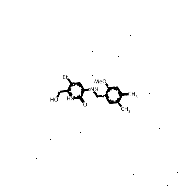 CCc1cc(NCc2cc(C)c(C)cc2OC)c(=O)[nH]c1CO